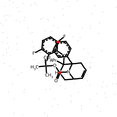 CCCC1(Oc2c(F)ccc(F)c2F)NCC2C=CCC1(c1ccccc1)N2C(=O)OC(C)(C)C(Cl)(Cl)Cl